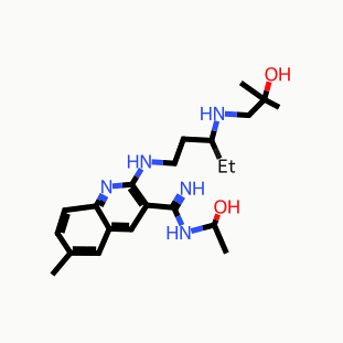 CCC(CCNc1nc2ccc(C)cc2cc1C(=N)NC(C)O)NCC(C)(C)O